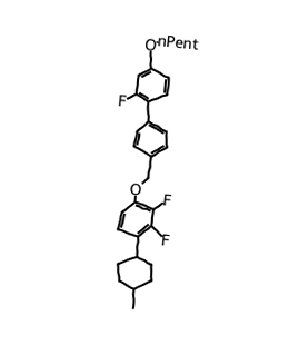 CCCCCOc1ccc(-c2ccc(COc3ccc(C4CCC(C)CC4)c(F)c3F)cc2)c(F)c1